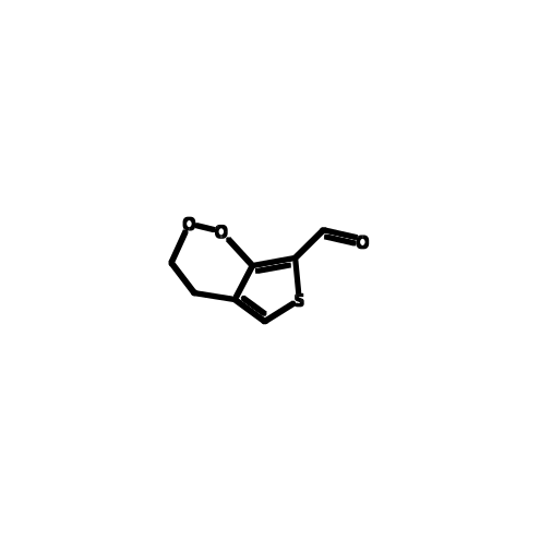 O=Cc1scc2c1OOCC2